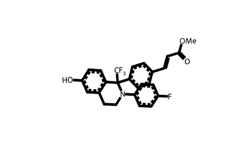 COC(=O)/C=C/c1ccc(C2(C(F)(F)F)c3ccc(O)cc3CCN2c2ccc(F)cc2)cc1